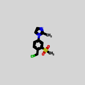 Cc1nccn1-c1ccc(CCl)c(S(C)(=O)=O)c1